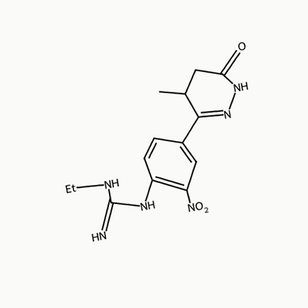 CCNC(=N)Nc1ccc(C2=NNC(=O)CC2C)cc1[N+](=O)[O-]